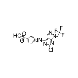 O=S(=O)(O)c1ccc(CNc2nc(Cl)nc3c2cnn3CC(F)(F)F)cc1